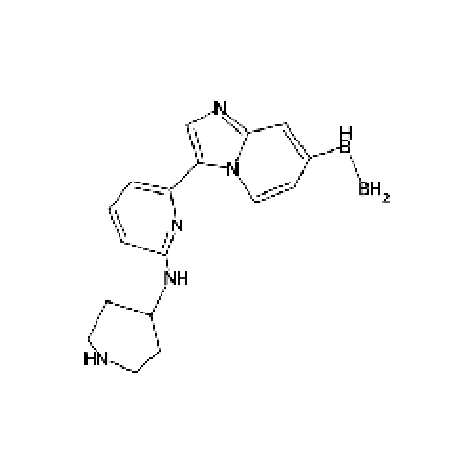 BBc1ccn2c(-c3cccc(NC4CCNCC4)n3)cnc2c1